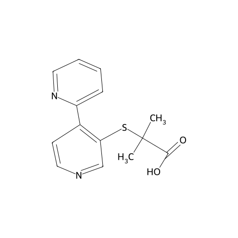 CC(C)(Sc1cnccc1-c1ccccn1)C(=O)O